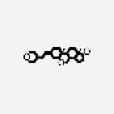 C[C@]12CC/C(=C/CC3CCOCC3)CC1OCC1C2CC[C@]2(C)C(=O)CCC12